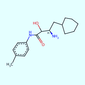 Cc1ccc(NC(=O)C(O)[C@H](N)CC2CCCCC2)cc1